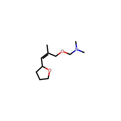 CC(=CC1CCCO1)COCN(C)C